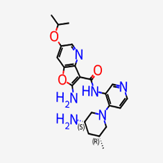 CC(C)Oc1cnc2c(C(=O)Nc3cnccc3N3C[C@H](C)C[C@H](N)C3)c(N)oc2c1